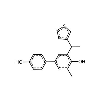 Cc1cc(-c2ccc(O)cc2)cc(C(C)c2ccsc2)c1O